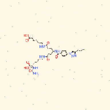 NC(=O)N[C@@H](CCCCNC(=O)CCC(CCC(=O)NCCCCCC(=O)O)NC(=O)c1ccc(-n2cc(CCCF)nn2)cc1)C(=O)O